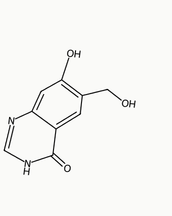 O=c1[nH]cnc2cc(O)c(CO)cc12